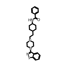 O=C(NC1CCC(CCN2CCN(c3nsc4ccccc34)CC2)CC1)c1ccccc1